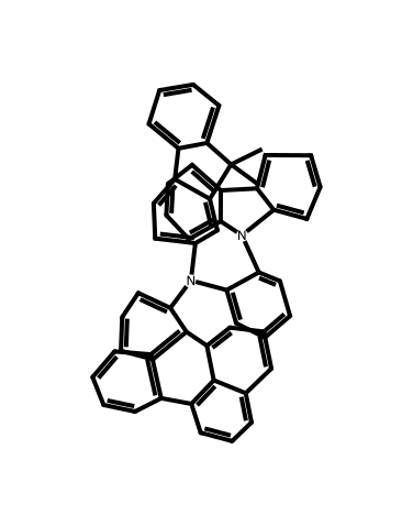 CC1(C)c2ccccc2-c2ccc(N(c3ccccc3-c3cccc4cccc(-c5ccccc5)c34)c3ccccc3-n3c4ccccc4c4ccccc43)cc21